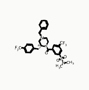 CN(C)S(=O)(=O)c1cc(C(=O)N2CCN(Cc3ccccc3)C[C@H]2Cc2ccc(C(F)(F)F)cc2)cc(C(F)(F)F)c1